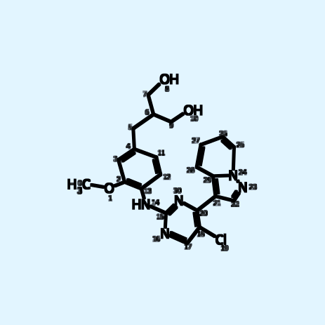 COc1cc(CC(CO)CO)ccc1Nc1ncc(Cl)c(-c2cnn3ccccc23)n1